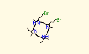 CCC1=C(C)c2cc3[nH]c(cc4nc(cc5[nH]c(cc1n2)c(C)c5CCCBr)C(CCCBr)=C4C)c(C)c3CC